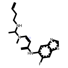 C=CCCNC(C)N(C)/C=C\C(=C)Nc1cc2ncsc2cc1F